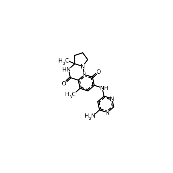 Cc1cc(Nc2cc(N)ncn2)c(=O)n2c1C(=O)NC1(C)CCCN21